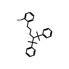 CC(C)(c1ccccc1)C(CCCc1ccccc1O)C(C)(C)c1ccccc1